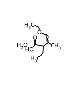 CCON=C(C)C(CC)C(=O)O.O